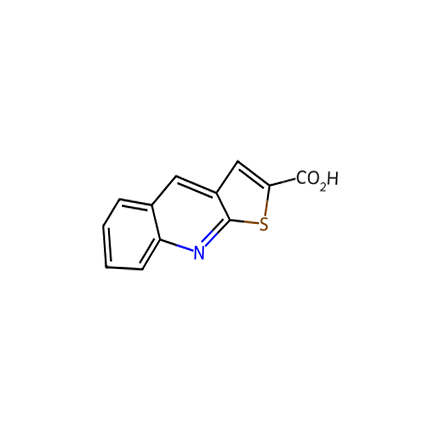 O=C(O)c1cc2cc3ccccc3nc2s1